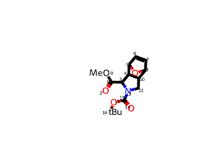 COC(=O)C1C2C3C=CC(O3)C2CN1C(=O)OC(C)(C)C